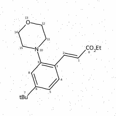 CCOC(=O)C=Cc1ccc(C(C)(C)C)cc1N1CCOCC1